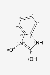 [O-][n+]1c(O)[nH]c2ccccc21